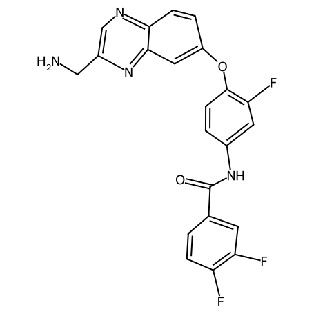 NCc1cnc2ccc(Oc3ccc(NC(=O)c4ccc(F)c(F)c4)cc3F)cc2n1